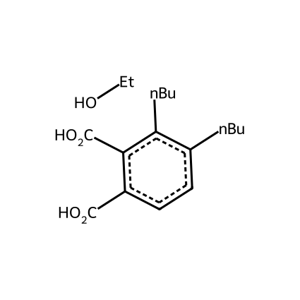 CCCCc1ccc(C(=O)O)c(C(=O)O)c1CCCC.CCO